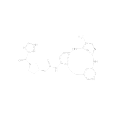 Cc1cnc2nc1Nc1ccc(NC(=O)C[C@H]3CCN(C(=O)c4nc[nH]n4)C3)c(c1)CCc1cncc(c1)N2